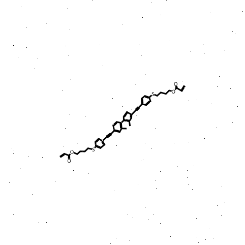 C=CC(=O)OCCCCSc1ccc(C#Cc2ccc(-c3ccc(C#Cc4ccc(SCCCCOC(=O)C=C)cc4)cc3C)c(C)c2)cc1